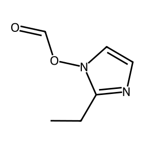 CCc1nccn1OC=O